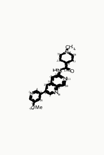 COc1cncc(-c2cnc3cnc(NC(=O)C4CCN(C)CC4)cc3c2)c1